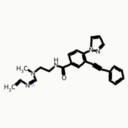 C=C/N=C\N(C)CCNC(=O)c1ccc(-n2cccn2)c(C#Cc2ccccc2)c1